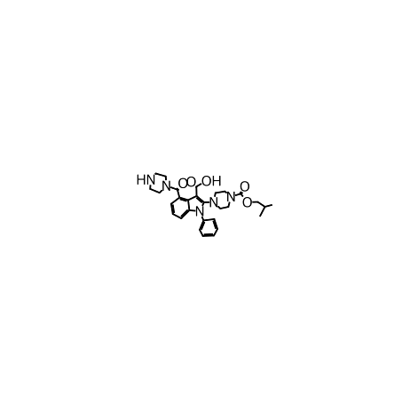 CC(C)COC(=O)N1CCN(c2c(C(=O)O)c3c(C(=O)N4CCNCC4)cccc3n2-c2ccccc2)CC1